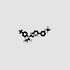 CC(C)(C)c1ccc(N(C(=O)C(F)(F)F)c2cn3nc(-c4cccc(OC(F)(F)F)c4)ccc3n2)cc1